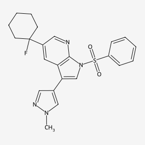 Cn1cc(-c2cn(S(=O)(=O)c3ccccc3)c3ncc(C4(F)CCCCC4)cc23)cn1